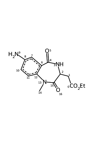 CCOC(=O)CC1NC(=O)c2cc(N)ccc2N(C)C1=O